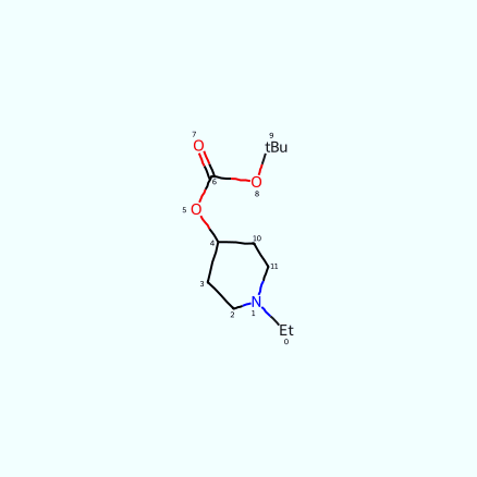 CCN1CCC(OC(=O)OC(C)(C)C)CC1